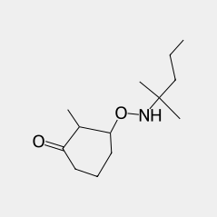 CCCC(C)(C)NOC1CCCC(=O)C1C